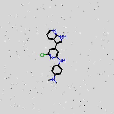 CN(C)c1ccc(Nc2cc(-c3c[nH]c4ncccc34)cc(Cl)n2)cc1